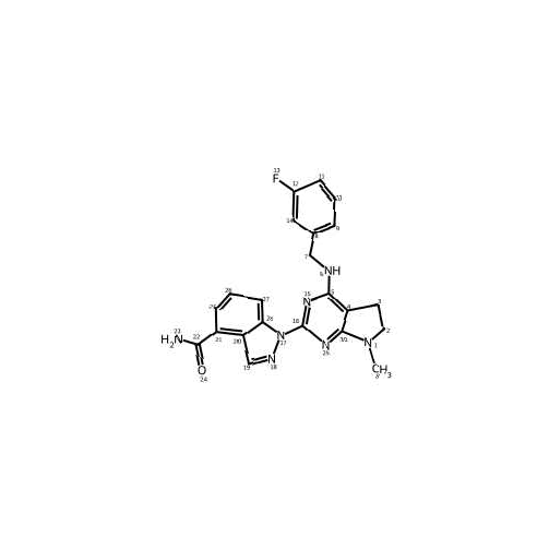 CN1CCc2c(NCc3cccc(F)c3)nc(-n3ncc4c(C(N)=O)cccc43)nc21